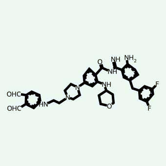 N=C(NC(=O)c1ccc(N2CCN(CCNc3ccc(C=O)c(C=O)c3)CC2)cc1NC1CCOCC1)c1cc(Cc2cc(F)cc(F)c2)ccc1N